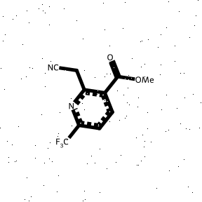 COC(=O)c1ccc(C(F)(F)F)nc1CC#N